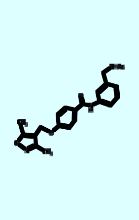 CC(=O)NCc1cccc(NC(=O)c2ccc(OCc3c(C)noc3C)cc2)c1